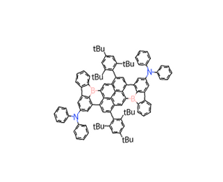 CC(C)(C)c1cc(C(C)(C)C)c(-c2cc3c4c(cc5c(-c6c(C(C)(C)C)cc(C(C)(C)C)cc6C(C)(C)C)cc6c7c(cc2c4c57)B2c4ccccc4-c4cc(N(c5ccccc5)c5ccccc5)cc-6c42)B2c4ccccc4-c4cc(N(c5ccccc5)c5ccccc5)cc-3c42)c(C(C)(C)C)c1